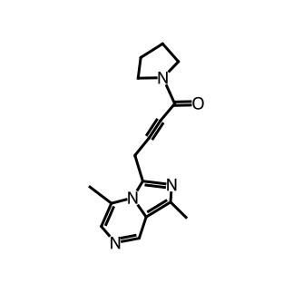 Cc1nc(CC#CC(=O)N2CCCC2)n2c(C)cncc12